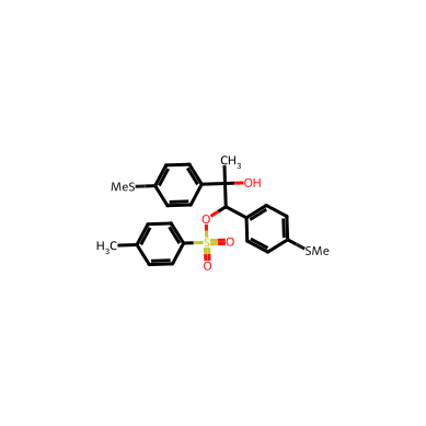 CSc1ccc(C(OS(=O)(=O)c2ccc(C)cc2)C(C)(O)c2ccc(SC)cc2)cc1